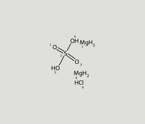 Cl.O=S(=O)(O)O.[MgH2].[MgH2]